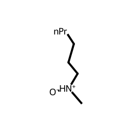 CCCCCC[NH+](C)[O-]